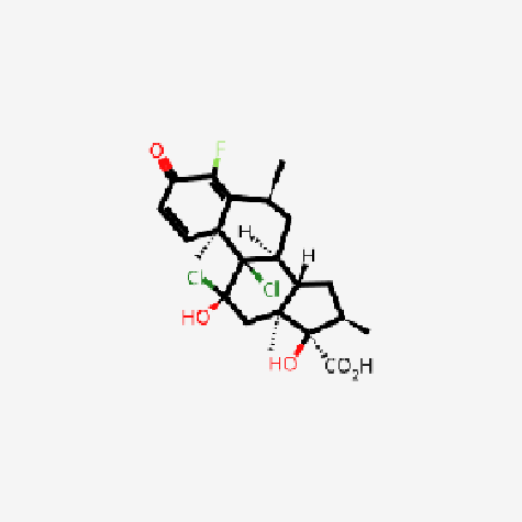 C[C@@H]1C[C@H]2[C@@H]3C[C@H](C)C4=C(F)C(=O)C=C[C@]4(C)[C@@]3(Cl)[C@@](O)(Cl)C[C@]2(C)[C@@]1(O)C(=O)O